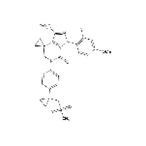 CCOC(=O)c1nn(-c2ccc(OC)cc2F)c2c1C1(CC1)CN(c1ccc(C3(CS(C)(=O)=O)CC3)cc1)C2=O